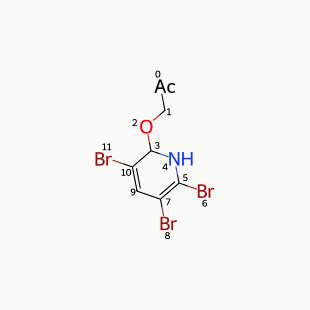 CC(=O)COC1NC(Br)=C(Br)C=C1Br